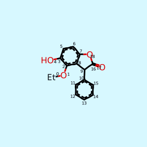 CCOc1c(O)ccc2c1C(c1ccccc1)C(=O)O2